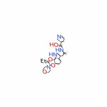 CC[C@H](Oc1cccc2c(C[C@@H](C)NC[C@H](O)c3cccnc3)c[nH]c12)C(=O)N1CCOCC1